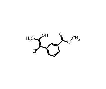 COC(=O)c1cccc(C(Cl)=C(C)O)c1